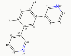 Cc1cc(C)c(-c2cccnc2)cc1-c1cccnc1